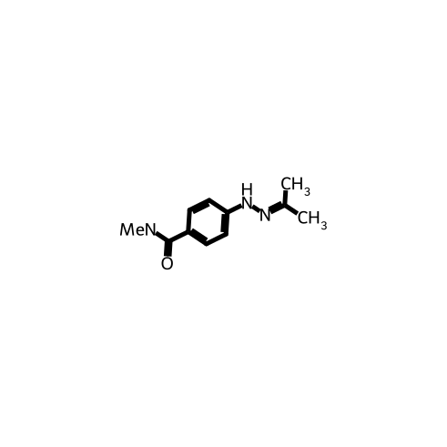 CNC(=O)c1ccc(NN=C(C)C)cc1